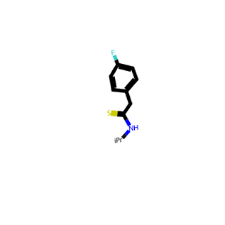 CC(C)NC(=S)Cc1ccc(F)cc1